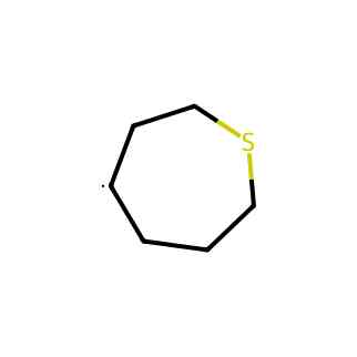 [CH]1CCCSCC1